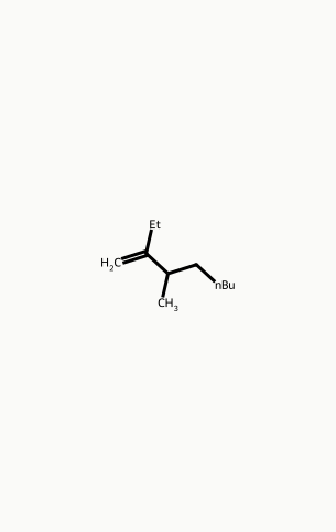 C=C(CC)C(C)CCCCC